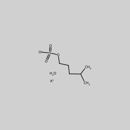 CC(C)CCCOS(=O)(=O)[O-].O.[K+]